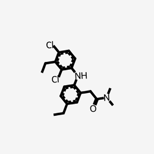 CCc1ccc(Nc2ccc(Cl)c(CC)c2Cl)c(CC(=O)N(C)C)c1